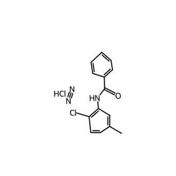 Cc1ccc(Cl)c(NC(=O)c2ccccc2)c1.Cl.N#N